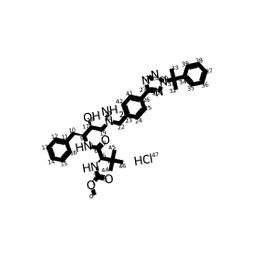 COC(=O)N[C@H](C(=O)N[C@@H](Cc1ccccc1)[C@@H](O)CN(N)Cc1ccc(-c2nnn(C(C)(C)c3ccccc3)n2)cc1)C(C)(C)C.Cl